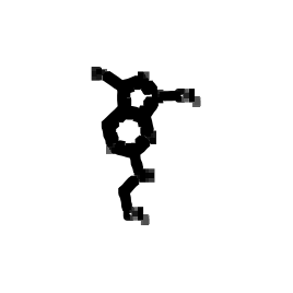 CCNc1ncc2c(Br)nn(C)c2n1